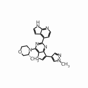 C[C@@H]1COCCN1c1nc(-c2ccnc3[nH]ccc23)nc2c(-c3cnn(C)c3)csc12